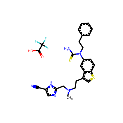 CN(CCc1csc2ccc(N(CCc3ccccc3)C(N)=S)cc12)Cc1ncc(C#N)[nH]1.O=C(O)C(F)(F)F